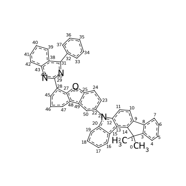 CC1(C)c2ccccc2-c2ccc3c(c21)c1ccccc1n3-c1ccc2oc3c(-c4nc(-c5ccccc5)c5ccccc5n4)cccc3c2c1